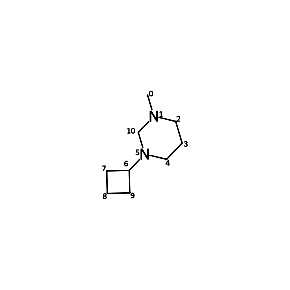 CN1CCCN(C2CCC2)C1